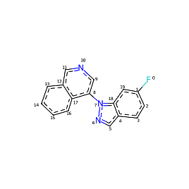 Fc1ccc2cnn(-c3cncc4ccccc34)c2c1